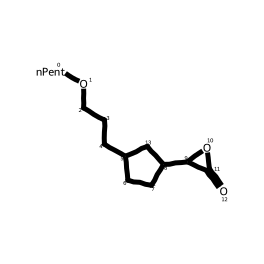 CCCCCOC[CH]CC1C[CH]C(C2OC2=O)C1